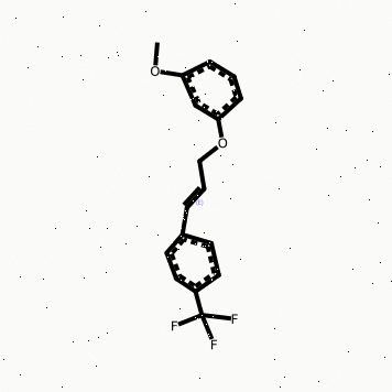 COc1cccc(OC/C=C/c2ccc(C(F)(F)F)cc2)c1